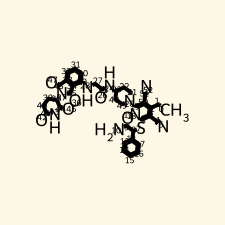 CCc1c(C#N)c(SC(C(N)=O)c2ccccc2)nc(N2CCC(NC(=O)CNc3cccc4c3C(=O)N(C3CCC(=O)NC3=O)C4=O)CC2)c1C#N